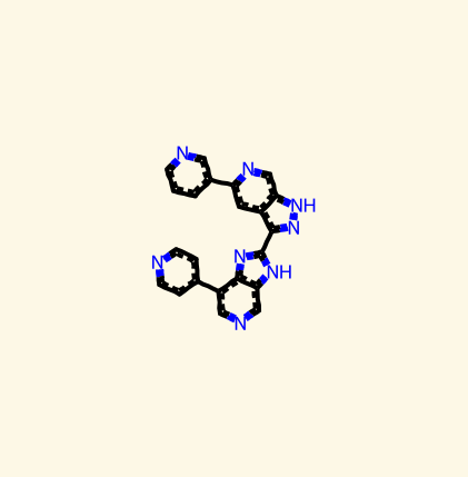 c1cncc(-c2cc3c(-c4nc5c(-c6ccncc6)cncc5[nH]4)n[nH]c3cn2)c1